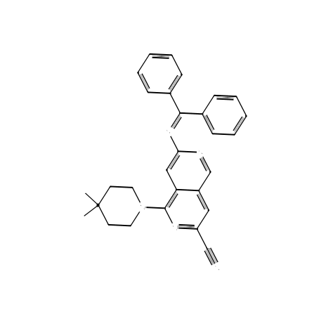 N#Cc1cc2cnc(N=C(c3ccccc3)c3ccccc3)cc2c(N2CCC(F)(F)CC2)n1